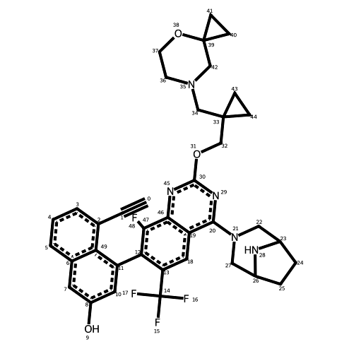 C#Cc1cccc2cc(O)cc(-c3c(C(F)(F)F)cc4c(N5CC6CCC(C5)N6)nc(OCC5(CN6CCOC7(CC7)C6)CC5)nc4c3F)c12